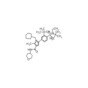 CCN(C(C)(C)C)S(=O)(=O)c1ccc(-c2cc(C(=O)NC3CCOCC3)c(C)n2CC2CCCCC2)cc1C(C)(C)C